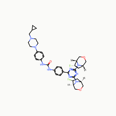 O=C(Nc1ccc(-c2nc(N3[C@@H]4COC[C@H]3[C@@H](F)C4)nc(N3[C@@H]4COC[C@H]3[C@@H](F)C4)n2)cc1)Nc1ccc(N2CCN(CC3CC3)CC2)cc1